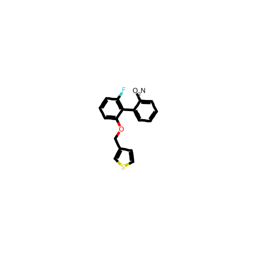 O=[N+]([O-])c1ccccc1-c1c(F)cccc1OCc1ccsc1